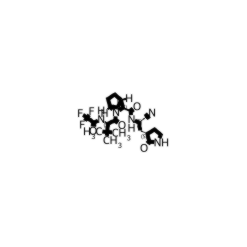 CC(C)(C)[C@H](NC(=O)C(F)(F)F)C(=O)N1[C@@H]2CC[C@@H](C2)[C@H]1C(=O)N[C@H](C#N)C[C@@H]1CCNC1=O